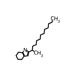 CCCCCCCCCCCC(C)C1=CC2=C(CCCC2)[N]1